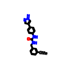 COc1cccc(CNC(=O)Nc2ccc(-c3cn[nH]c3)cc2)c1